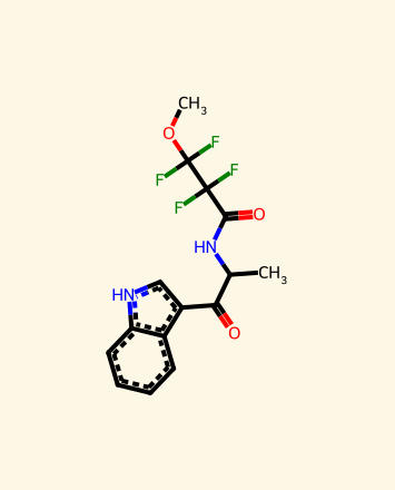 COC(F)(F)C(F)(F)C(=O)NC(C)C(=O)c1c[nH]c2ccccc12